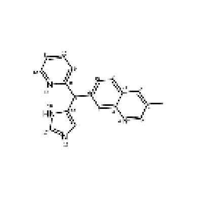 Cc1cnc2cc(C(c3ccccn3)c3cnc[nH]3)ccc2c1